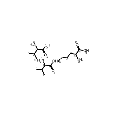 CC(C)C(N)C(=O)O.CC(C)C(N)C(=O)O.CSCCC(N)C(=O)O